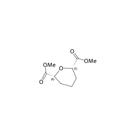 COC(=O)[C@@H]1CCC[C@H](C(=O)OC)O1